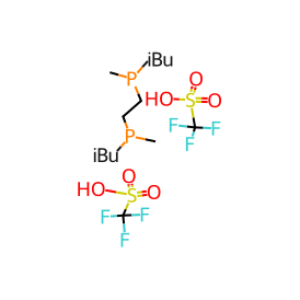 CCC(C)P(C)CCP(C)C(C)CC.O=S(=O)(O)C(F)(F)F.O=S(=O)(O)C(F)(F)F